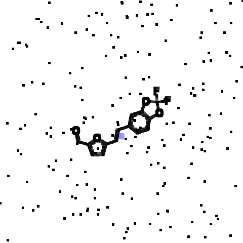 O=Cc1ccc(/C=C/c2ccc3c(c2)OC(F)(F)O3)o1